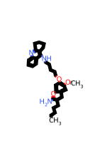 CCCCCC(Cc1ccc(OCCCCCNc2c3c(nc4ccccc24)CCCC3)c(OC)c1)C(N)=O